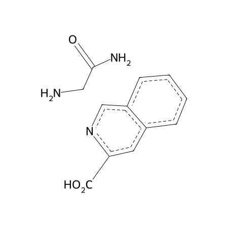 NCC(N)=O.O=C(O)c1cc2ccccc2cn1